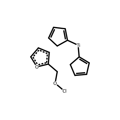 C1=CC[C]([Ti][C]2=CC=CC2)=C1.ClOCc1ccco1